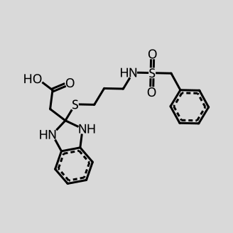 O=C(O)CC1(SCCCNS(=O)(=O)Cc2ccccc2)Nc2ccccc2N1